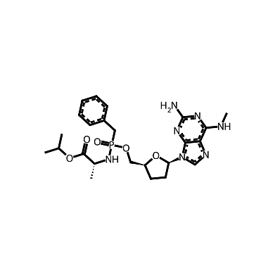 CNc1nc(N)nc2c1ncn2[C@H]1CC[C@@H](COP(=O)(Cc2ccccc2)N[C@H](C)C(=O)OC(C)C)O1